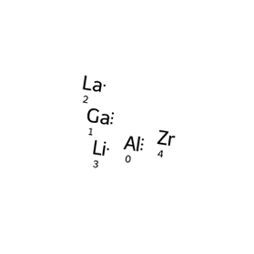 [Al].[Ga].[La].[Li].[Zr]